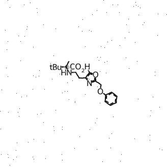 C[C@@H](NCCc1nc(COc2ccccc2)oc1C(=O)O)C(C)(C)C